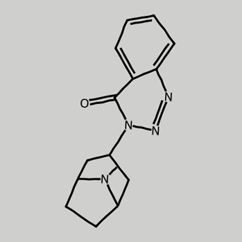 CN1C2CCC1CC(n1nnc3ccccc3c1=O)C2